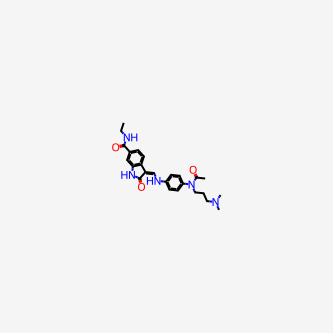 CCNC(=O)c1ccc2c(c1)NC(=O)/C2=C\Nc1ccc(N(CCCN(C)C)C(C)=O)cc1